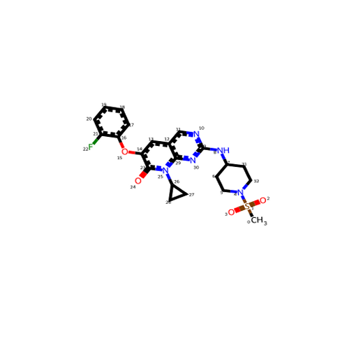 CS(=O)(=O)N1CCC(Nc2ncc3cc(Oc4ccccc4F)c(=O)n(C4CC4)c3n2)CC1